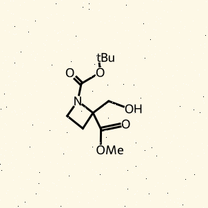 COC(=O)C1(CO)CCN1C(=O)OC(C)(C)C